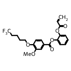 C=CC(=O)Oc1ccccc1OC(=O)c1ccc(OCCCCC(F)(F)F)c(OC)c1